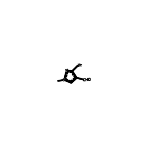 CC(C)c1nn(C)cc1C=O